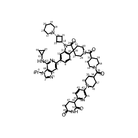 CC(C)n1cnc2cc(-c3ccc4c(c3)N([C@H]3C[C@@H](N5CCCCC5)C3)C(=O)C43CCN(C(=O)C4CCN(C(=O)C5CCN(c6ccc(C7CCC(=O)NC7=O)nc6)CC5)CC4)CC3)nc(NC3CC3)c21